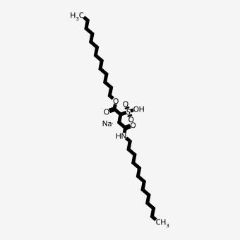 CCCCCCCCCCCCCNC(=O)CC(C(=O)OCCCCCCCCCCCCC)S(=O)(=O)O.[Na]